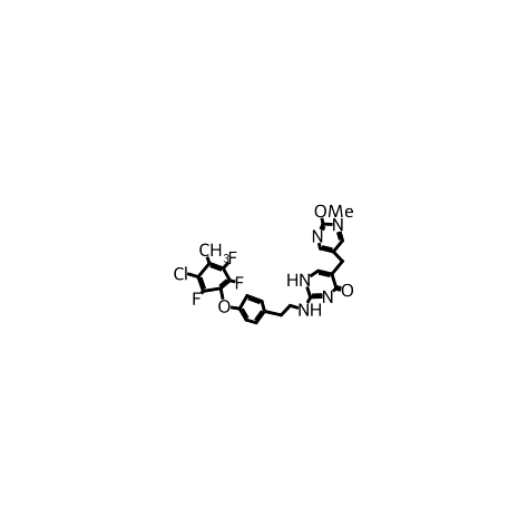 COc1ncc(Cc2c[nH]c(NCCc3ccc(Oc4c(F)c(F)c(C)c(Cl)c4F)cc3)nc2=O)cn1